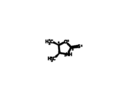 C[C@@H]1NC(=S)O[C@@H]1C